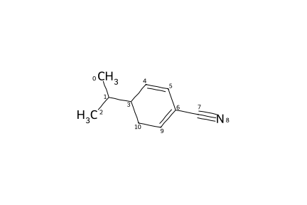 CC(C)C1C=CC(C#N)=CC1